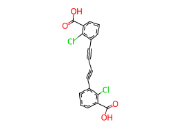 O=C(O)c1cccc(C#CC#Cc2cccc(C(=O)O)c2Cl)c1Cl